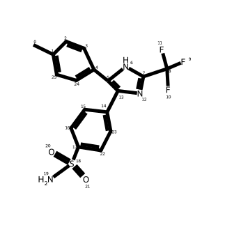 Cc1ccc(-c2[nH]c(C(F)(F)F)nc2-c2ccc(S(N)(=O)=O)cc2)cc1